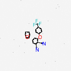 N#Cc1cccc(Oc2ccc(C(F)(F)F)cc2)c1C#N.c1cc2ccc1o2